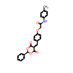 Cc1ccc(NC(=O)COc2ccc(C=C3C(=O)OC(c4ccccc4)OC3=O)cc2)cc1